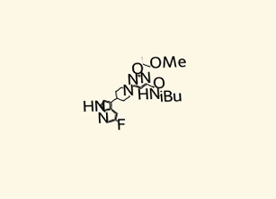 CC[C@@H](C)NC(=O)c1cc(N2CCC(c3c[nH]c4ncc(F)cc34)CC2)nc(O[C@H](C)COC)n1